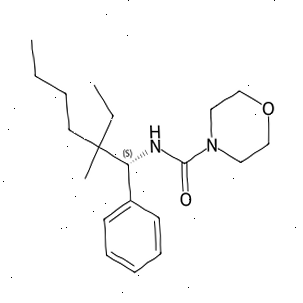 CCCCC(C)(CC)[C@H](NC(=O)N1CCOCC1)c1ccccc1